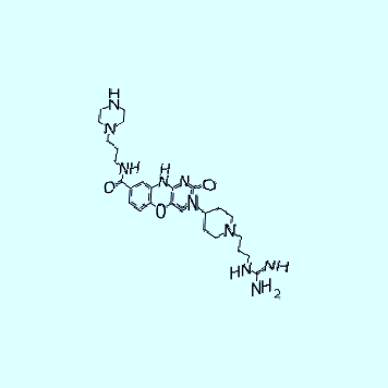 N=C(N)NCCCN1CCC(n2cc3c(nc2=O)Nc2cc(C(=O)NCCCN4CCNCC4)ccc2O3)CC1